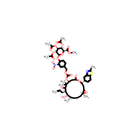 C=CC[C@H]1C(=O)C(C)(C)[C@@H](OC(=O)OCc2ccc(O[C@@H]3O[C@H](C(=O)OC)[C@@H](OC(C)=O)[C@H](OC(C)=O)[C@H]3OC(C)=O)c([N+](=O)[O-])c2)CC(=O)O[C@H](c2ccc3sc(C)nc3c2)CC2O[C@@]2(C)CCC[C@H](C)[C@@H]1O